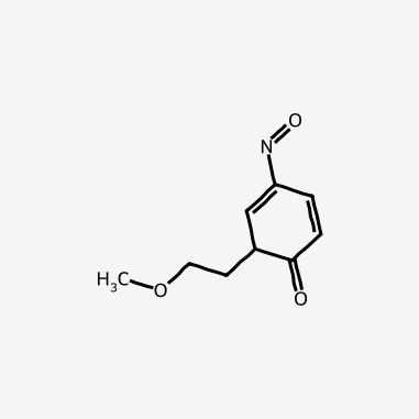 COCCC1C=C(N=O)C=CC1=O